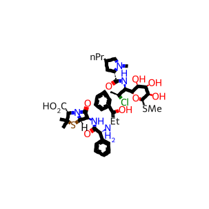 CC1(C)S[C@@H]2[C@H](NC(=O)[C@H](N)c3ccccc3)C(=O)N2[C@H]1C(=O)O.CCC(O)c1ccccc1.CCC[C@@H]1C[C@@H](C(=O)N[C@@H]([C@H]2O[C@H](SC)[C@H](O)[C@@H](O)[C@H]2O)[C@H](C)Cl)N(C)C1